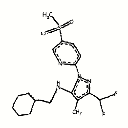 Cc1c(C(F)F)nn(-c2ccc(S(C)(=O)=O)cn2)c1NCC1CCCCC1